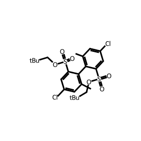 Cc1cc(Cl)cc(S(=O)(=O)OCC(C)(C)C)c1-c1c(C)cc(Cl)cc1S(=O)(=O)OCC(C)(C)C